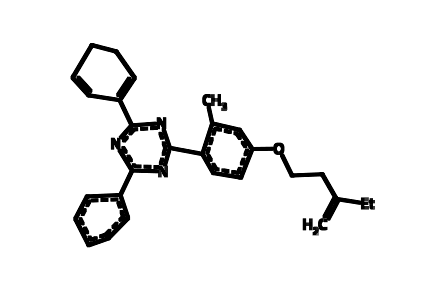 C=C(CC)CCOc1ccc(-c2nc(C3=CCCC=C3)nc(-c3ccccc3)n2)c(C)c1